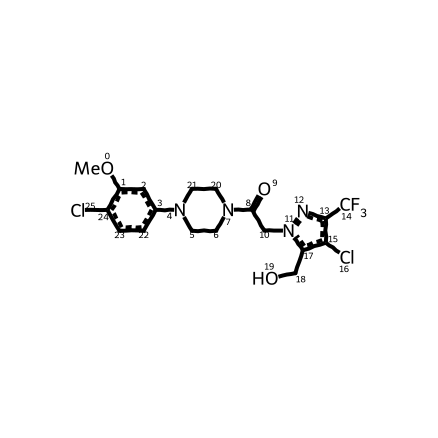 COc1cc(N2CCN(C(=O)Cn3nc(C(F)(F)F)c(Cl)c3CO)CC2)ccc1Cl